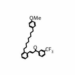 COc1ccc(CCCCCCCCc2ccccc2C=CC(=O)c2cccc(C(F)(F)F)c2)cc1